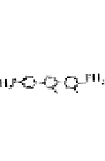 Cc1cc(-c2ccc(-c3ccc(P)cc3)cc2C)ccc1CP